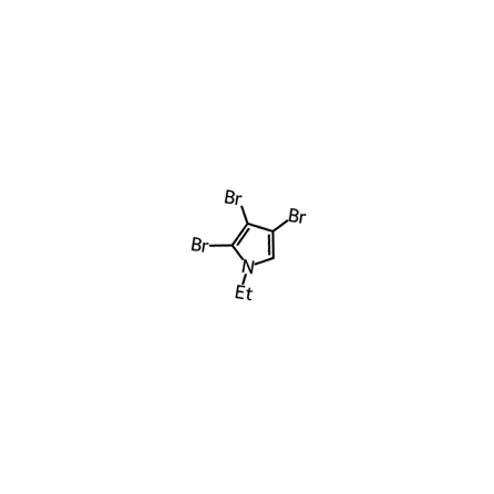 CCn1cc(Br)c(Br)c1Br